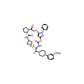 COc1cccc(N2CCN(C(=O)[C@H](C)NC(=O)Oc3cc(OCC(=O)N4CCC[C@H]4C(=O)NC4CCC4)n(-c4ccccc4)n3)CC2)c1